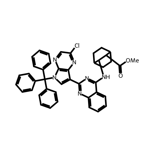 COC(=O)C1C2CCC(CC2)C1Nc1nc(-c2cn(C(c3ccccc3)(c3ccccc3)c3ccccc3)c3ncc(Cl)nc23)nc2ccccc12